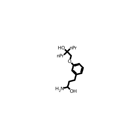 CCCC(O)(CCC)COc1cccc(CCC(N)O)c1